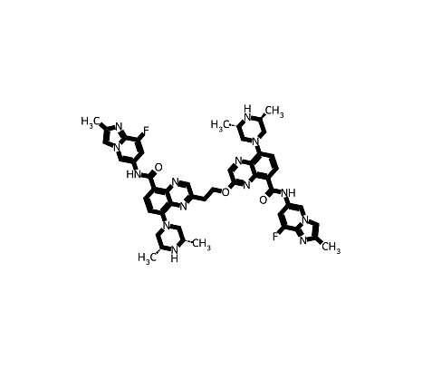 Cc1cn2cc(NC(=O)c3ccc(N4C[C@H](C)N[C@@H](C)C4)c4ncc(OCCc5cnc6c(C(=O)Nc7cc(F)c8nc(C)cn8c7)ccc(N7C[C@@H](C)N[C@@H](C)C7)c6n5)nc34)cc(F)c2n1